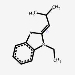 CCN1/C(=C/C(C)C)Sc2ccccc21